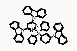 c1ccc([Si](c2ccccc2)(c2cccc(-n3c4ccccc4c4ccccc43)c2)c2nc(-n3c4ccccc4c4ccccc43)cc(-n3c4ccccc4c4ccccc43)n2)cc1